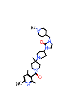 CC(=O)N1CCC(CN2CCN(C3CCN(C4(C)CCN(C(=O)c5c(C)cc(C#N)nc5C)CC4)CC3)C2=O)CC1